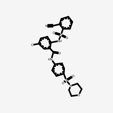 N#Cc1ccccc1S(=O)(=O)Nc1ccc(Cl)cc1C(=O)Nc1ccc(S(=O)(=O)N2CCOCC2)cc1